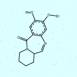 CCOc1cc2c(cc1OC)C(=O)N1CCCCC1C=N2